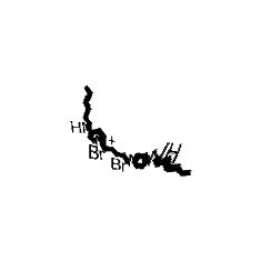 CCCCCCNc1cc[n+](C(Br)CCCC(Br)[n+]2ccc(NCCCCCC)cc2)cc1